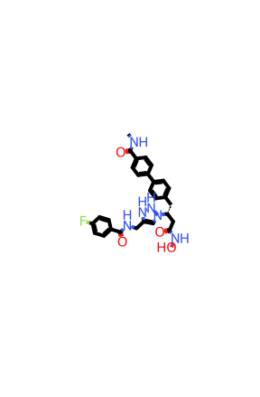 CNC(=O)c1ccc(-c2ccc(C[C@H](CC(=O)NO)N3C=C(CNC(=O)c4ccc(F)cc4)NN3)cc2)cc1